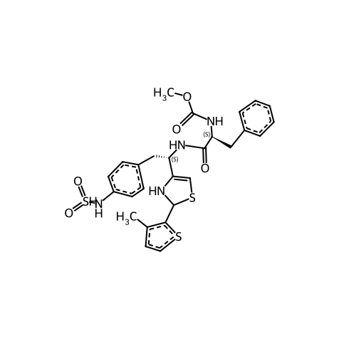 COC(=O)N[C@@H](Cc1ccccc1)C(=O)N[C@@H](Cc1ccc(N[SH](=O)=O)cc1)C1=CSC(c2sccc2C)N1